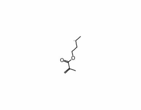 C=C(C)C(=O)OCC[CH]C